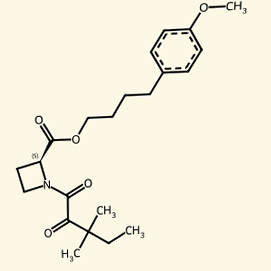 CCC(C)(C)C(=O)C(=O)N1CC[C@H]1C(=O)OCCCCc1ccc(OC)cc1